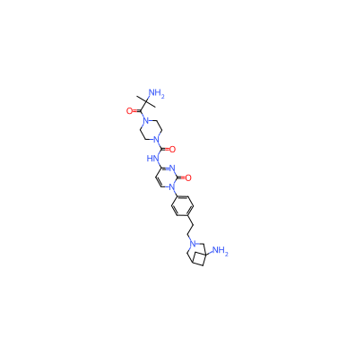 CC(C)(N)C(=O)N1CCN(C(=O)Nc2ccn(-c3ccc(CCN4CC5CC(N)(C5)C4)cc3)c(=O)n2)CC1